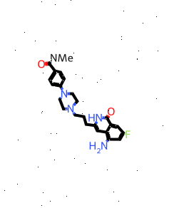 CNC(=O)c1ccc(N2CCN(CCCc3cc4c(N)cc(F)cc4c(=O)[nH]3)CC2)cc1